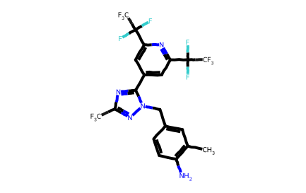 Cc1cc(Cn2nc(C(F)(F)F)nc2-c2cc(C(F)(F)C(F)(F)F)nc(C(F)(F)C(F)(F)F)c2)ccc1N